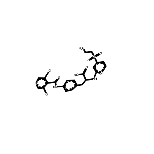 CCCS(=O)(=O)c1ccnc(NC(Cc2ccc(NC(=O)c3c(Cl)cncc3Cl)cc2)C(=O)O)c1